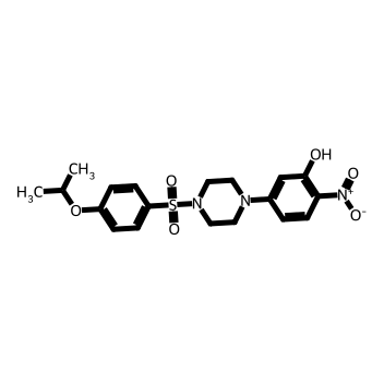 CC(C)Oc1ccc(S(=O)(=O)N2CCN(c3ccc([N+](=O)[O-])c(O)c3)CC2)cc1